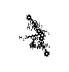 CCCCCC(CCCC1c2ccc(OC(=O)C(C)(C)NC(=O)OCc3ccccc3)cc2CCC1(C)c1ccc(OC(=O)C(C)(C)NC(=O)OCc2ccccc2)cc1)[S+]([O-])CCCC(F)(F)C(F)(F)F